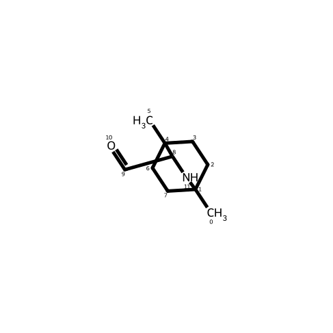 CC12CCC(C)(CC1)C(C=O)N2